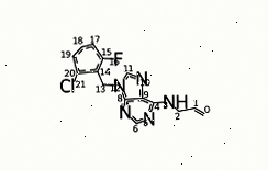 C=CCNc1ncnc2c1ncn2Cc1c(F)cccc1Cl